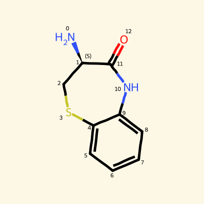 N[C@@H]1CSc2ccccc2NC1=O